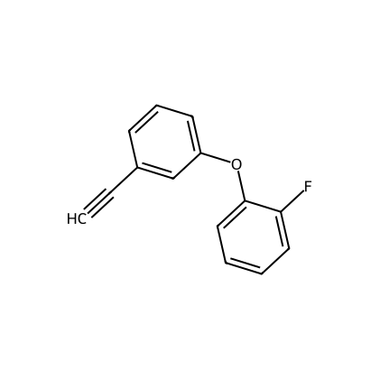 C#Cc1cccc(Oc2ccccc2F)c1